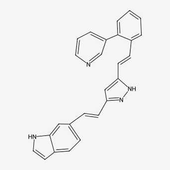 C(=Cc1cc(C=Cc2ccccc2-c2cccnc2)[nH]n1)c1ccc2cc[nH]c2c1